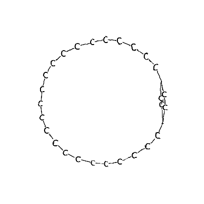 C1CCCCCCCCCCC[C]2CCC(CCCCCCCCCCC1)CC2